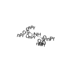 CCCO[Si](CCNCC[Si](OCCC)(OCCC)OCCC)(OCCC)OCCC